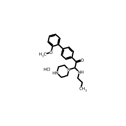 CCCNC(C(=O)c1ccc(-c2ccccc2OC)cc1)N1CCNCC1.Cl